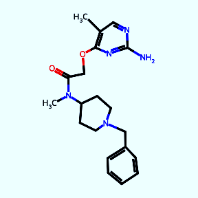 Cc1cnc(N)nc1OCC(=O)N(C)C1CCN(Cc2ccccc2)CC1